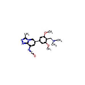 COc1cc(-c2cc(N=C=O)c3nnc(C)n3c2)cc(OC)c1CN(C)C